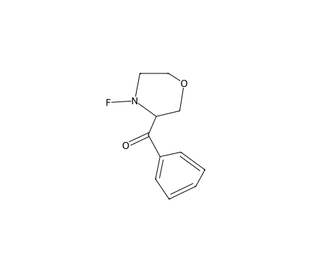 O=C(c1ccccc1)C1COCCN1F